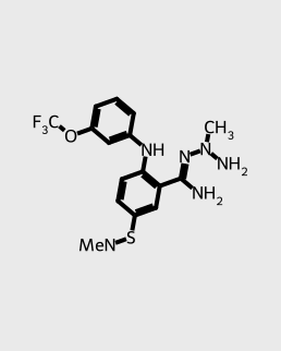 CNSc1ccc(Nc2cccc(OC(F)(F)F)c2)c(/C(N)=N/N(C)N)c1